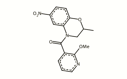 COc1ncccc1C(=O)N1CC(C)Oc2ccc([N+](=O)[O-])cc21